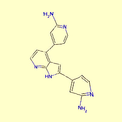 Nc1cc(-c2cc3c(-c4ccnc(N)c4)ccnc3[nH]2)ccn1